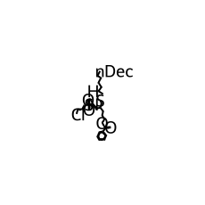 CCCCCCCCCCCCCCCCSCC(CCCOC(=O)c1ccccc1)CNS(=O)(=O)CCCCl